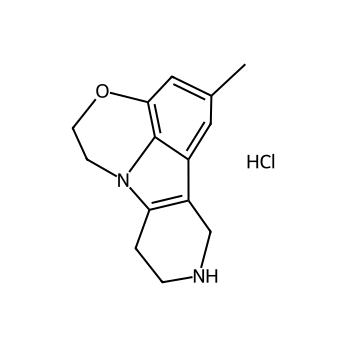 Cc1cc2c3c(c1)c1c(n3CCO2)CCNC1.Cl